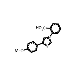 COc1ccc(-c2cn(-c3ccccc3C(=O)O)cn2)cc1